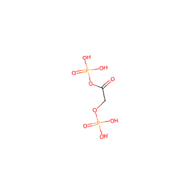 O=C(COP(=O)(O)O)OP(=O)(O)O